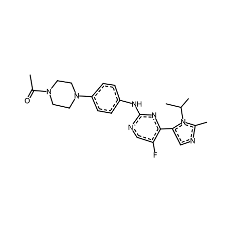 CC(=O)N1CCN(c2ccc(Nc3ncc(F)c(-c4cnc(C)n4C(C)C)n3)cc2)CC1